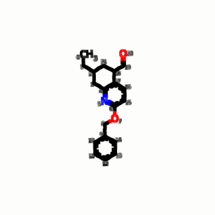 CCC1Cc2nc(OCc3ccccc3)ccc2C(C=O)C1